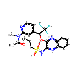 CCCS(=O)(=O)Nc1nc2ccccc2nc1OC(c1ccnc(N(C)C(C)=O)c1)C(F)(F)F